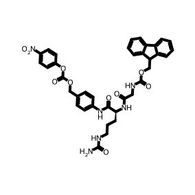 NC(=O)NCCC[C@H](NC(=O)CNC(=O)OCC1c2ccccc2-c2ccccc21)C(=O)Nc1ccc(COC(=O)Oc2ccc([N+](=O)[O-])cc2)cc1